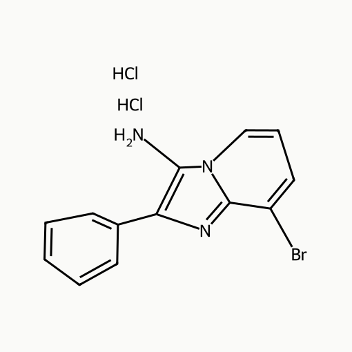 Cl.Cl.Nc1c(-c2ccccc2)nc2c(Br)cccn12